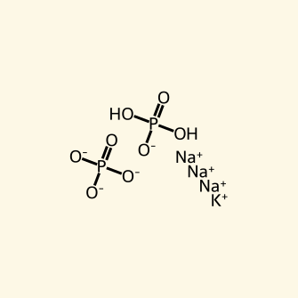 O=P([O-])(O)O.O=P([O-])([O-])[O-].[K+].[Na+].[Na+].[Na+]